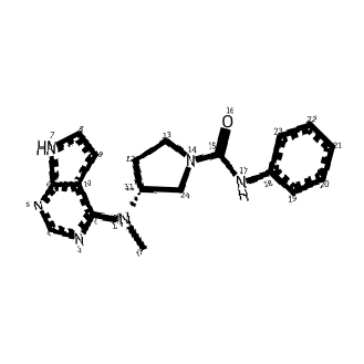 CN(c1ncnc2[nH]ccc12)[C@@H]1CCN(C(=O)Nc2ccccc2)C1